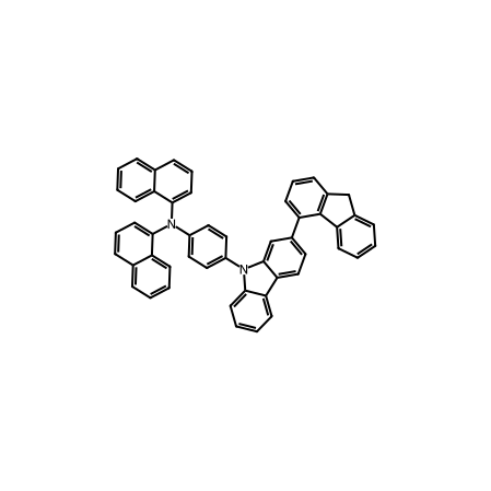 c1ccc2c(c1)Cc1cccc(-c3ccc4c5ccccc5n(-c5ccc(N(c6cccc7ccccc67)c6cccc7ccccc67)cc5)c4c3)c1-2